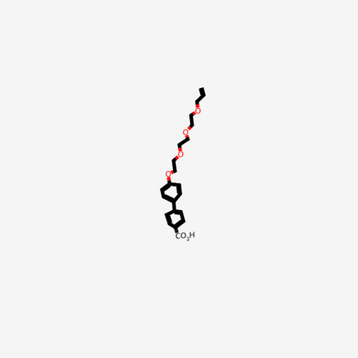 C=CCOCCOCCOCCOc1ccc(-c2ccc(C(=O)O)cc2)cc1